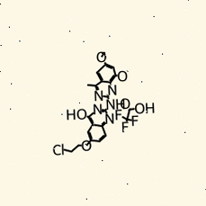 COc1cc(OC)c2nc(Nc3nc(O)c4cc(OCCCl)ccc4n3)nc(C)c2c1.O=C(O)C(F)(F)F